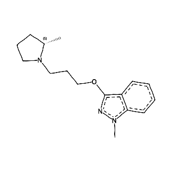 C[C@H]1CCCN1CCCOc1nn(C)c2ccccc12